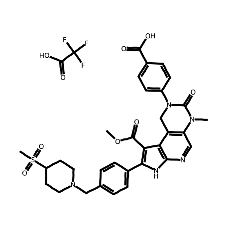 COC(=O)c1c(-c2ccc(CN3CCC(S(C)(=O)=O)CC3)cc2)[nH]c2ncc3c(c12)CN(c1ccc(C(=O)O)cc1)C(=O)N3C.O=C(O)C(F)(F)F